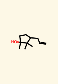 C=CCC1CCC(C)(O)C1(C)C